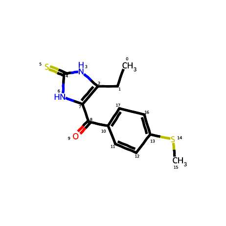 CCc1[nH]c(=S)[nH]c1C(=O)c1ccc(SC)cc1